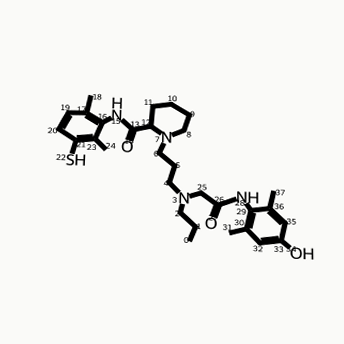 CCCN(CCCN1CCCCC1C(=O)Nc1c(C)ccc(S)c1C)CC(=O)Nc1c(C)cc(O)cc1C